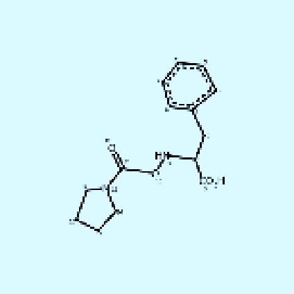 O=C(O)C(Cc1ccccc1)NOC(=O)N1CCCC1